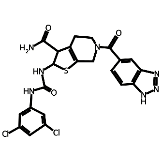 NC(=O)C1C2=C(CN(C(=O)c3ccc4[nH]nnc4c3)CC2)SC1NC(=O)Nc1cc(Cl)cc(Cl)c1